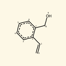 C=Cc1ccccc1[C]O